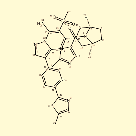 Cc1nnc(C(=O)N2[C@@H]3CC[C@H]2C[C@H](c2nc4c(-c5ccc(-c6ncc(C)s6)nc5)cnn4c(N)c2S(C)(=O)=O)C3)[nH]1